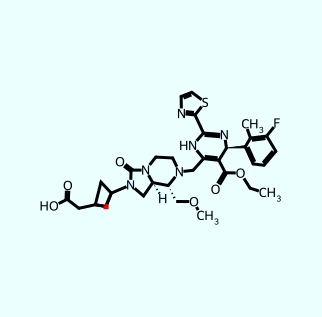 CCOC(=O)C1=C(CN2CCN3C(=O)N(C45CC(CC(=O)O)(C4)C5)C[C@@H]3[C@H]2COC)NC(c2nccs2)=N[C@H]1c1cccc(F)c1C